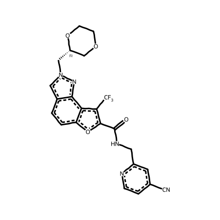 N#Cc1ccnc(CNC(=O)c2oc3ccc4cn(C[C@H]5COCCO5)nc4c3c2C(F)(F)F)c1